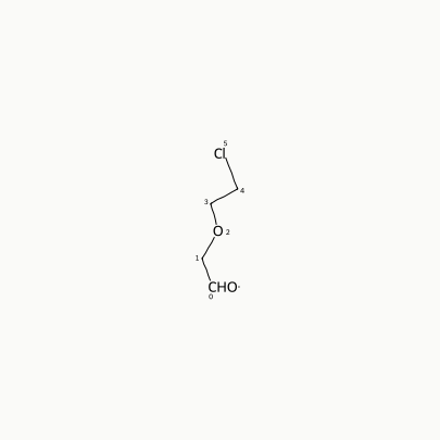 O=[C]COCCCl